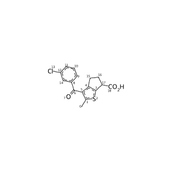 Cc1sc2c(c1C(=O)c1cccc(Cl)c1)CCC2C(=O)O